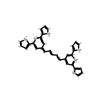 C(/C=C/C=C/c1cc(-c2ccc[se]2)[se+]c(-c2ccc[se]2)c1)=C1C=C(c2ccc[se]2)[Se]C(c2ccc[se]2)=C1